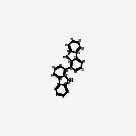 c1ccc2c(c1)[nH]c1c(-c3cccc4c3sc3ccccc34)cccc12